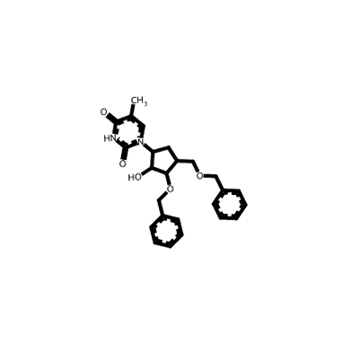 Cc1cn(C2CC(COCc3ccccc3)C(OCc3ccccc3)C2O)c(=O)[nH]c1=O